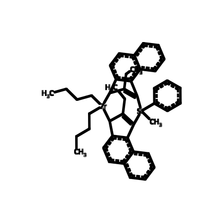 CCC[CH2][Zr]1([CH2]CCC)[CH]2C(CC)=C(c3c2ccc2ccccc32)[Si](C)(c2ccccc2)C2=C(CC)[CH]1c1ccc3ccccc3c12